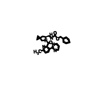 Cc1ccc(-c2ncccn2)c(C(=O)N2CC3(CC3)C[C@H]2CNC(=O)OCc2ccccc2)n1